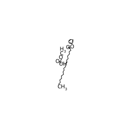 CCCCCCCCCCCCCCCCCCCC(=O)Oc1ccccc1.CCOCC(=O)O